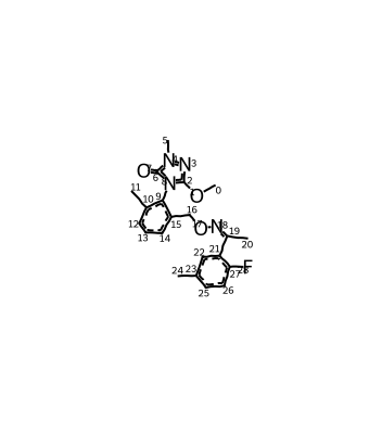 COc1nn(C)c(=O)n1-c1c(C)cccc1CON=C(C)c1cc(C)ccc1F